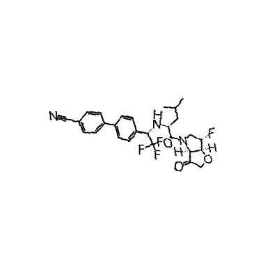 CC(C)C[C@H](N[C@@H](c1ccc(-c2ccc(C#N)cc2)cc1)C(F)(F)F)C(=O)N1C[C@H](F)[C@H]2OCC(=O)[C@H]21